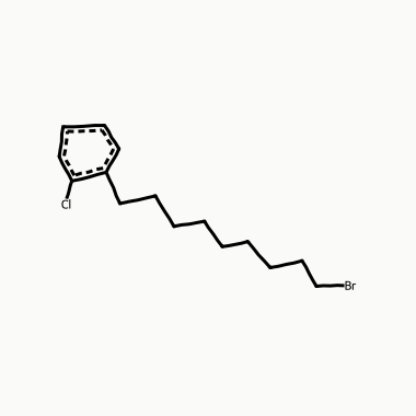 Clc1ccccc1CCCCCCCCCBr